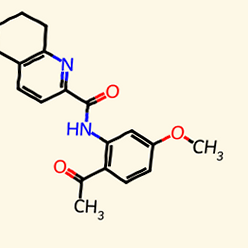 COc1ccc(C(C)=O)c(NC(=O)c2ccc3c(n2)CCCC3)c1